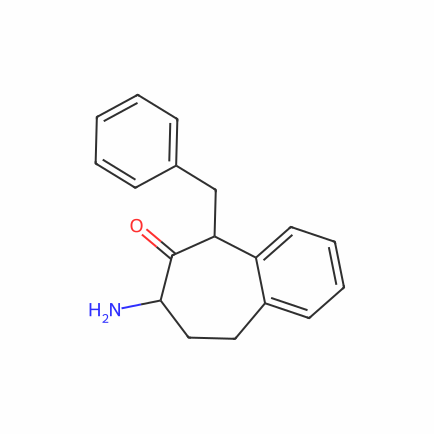 NC1CCc2ccccc2C(Cc2ccccc2)C1=O